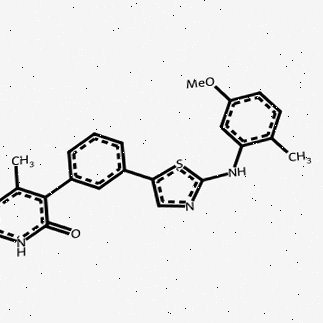 COc1ccc(C)c(Nc2ncc(-c3cccc(-c4c(C)cc[nH]c4=O)c3)s2)c1